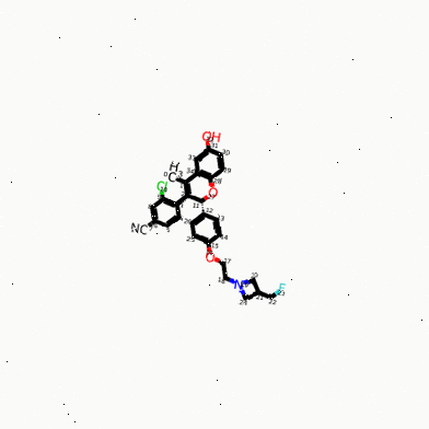 CC1=C(c2ccc(C#N)cc2Cl)[C@@H](c2ccc(OCCN3CC(CF)C3)cc2)Oc2ccc(O)cc21